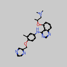 Cc1cc(Nc2ncnc3cccc(OC(C)CN(C)C)c23)ccc1OCc1cnccn1